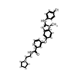 CCc1ccc(Nc2nc3cc(Oc4ccnc(C(=O)NCCN5CCCC5)c4)ccc3n2C)cc1